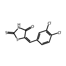 O=C1NC(=S)SC1=Cc1ccc(Cl)c(Cl)c1